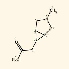 CC(=O)CC1C2CN(C)CC12